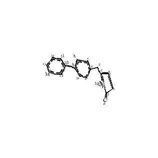 O=C1C=CC(Cc2ccc(-c3ccccc3)cc2)=N1